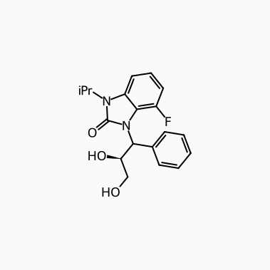 CC(C)n1c(=O)n(C(c2ccccc2)[C@H](O)CO)c2c(F)cccc21